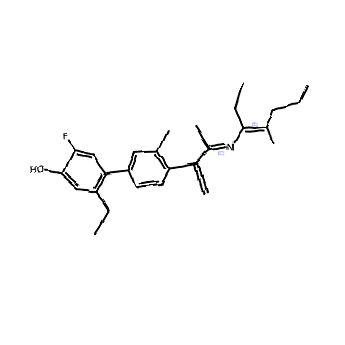 C=C(/C(C)=N/C(CC)=C(\C)CCC)c1ccc(-c2cc(F)c(O)cc2CC)cc1C